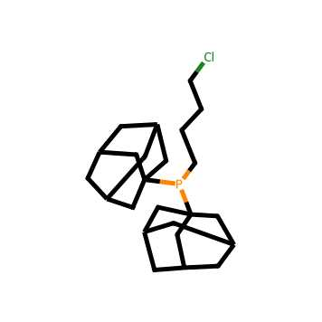 ClCCCCP(C12CC3CC(CC(C3)C1)C2)C12CC3CC(CC(C3)C1)C2